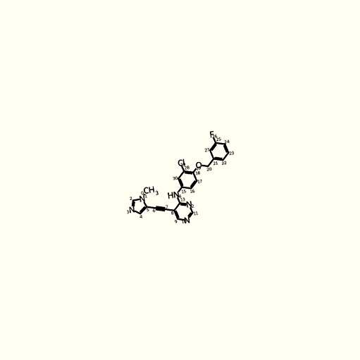 Cn1cncc1C#Cc1cncnc1Nc1ccc(OCc2cccc(F)c2)c(Cl)c1